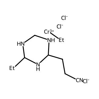 CCC1NCNC(CCC#N)N1.C[CH2][Cr+3].[Cl-].[Cl-].[Cl-]